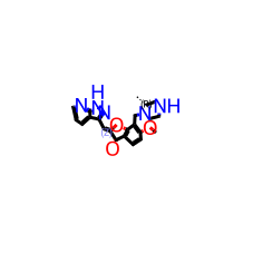 COc1ccc2c(c1CN1CCNC[C@H]1C)O/C(=C\c1n[nH]c3ncccc13)C2=O